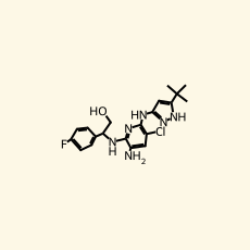 CC(C)(C)c1cc(Nc2nc(NC(CO)c3ccc(F)cc3)c(N)cc2Cl)n[nH]1